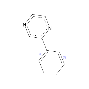 C/C=C\C(=C/C)c1cnccn1